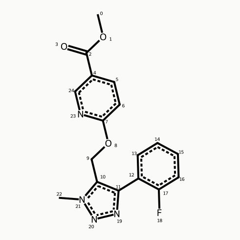 COC(=O)c1ccc(OCc2c(-c3ccccc3F)nnn2C)nc1